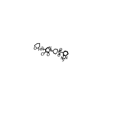 O=c1c(Cl)c(NC[C@H]2CCCOC2)cnn1C1CCN(S(=O)(=O)c2cccc3nsnc23)CC1